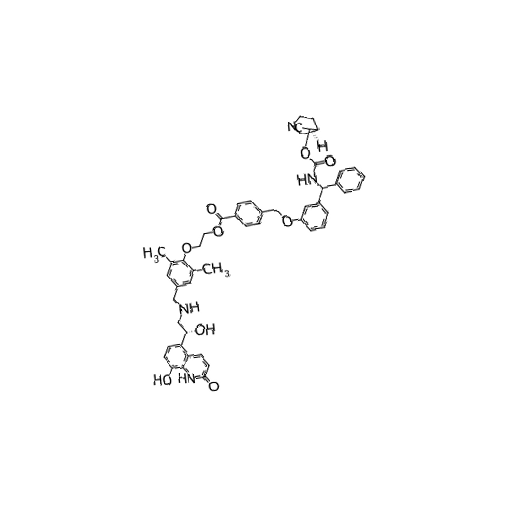 Cc1cc(CNC[C@H](O)c2ccc(O)c3[nH]c(=O)ccc23)cc(C)c1OCCOC(=O)c1ccc(COc2cccc(C(NC(=O)O[C@H]3CN4CCC3CC4)c3ccccc3)c2)cc1